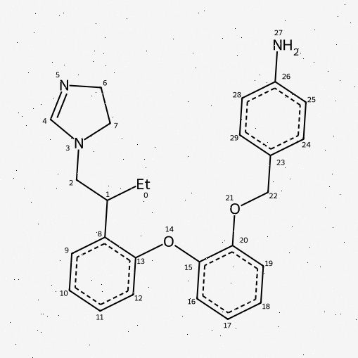 CCC(CN1C=NCC1)c1ccccc1Oc1ccccc1OCc1ccc(N)cc1